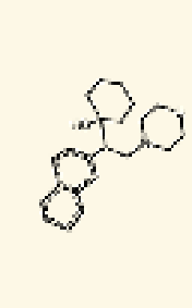 OC1(C(CN2CCOCC2)c2ccc3ccccc3c2)CCCCC1